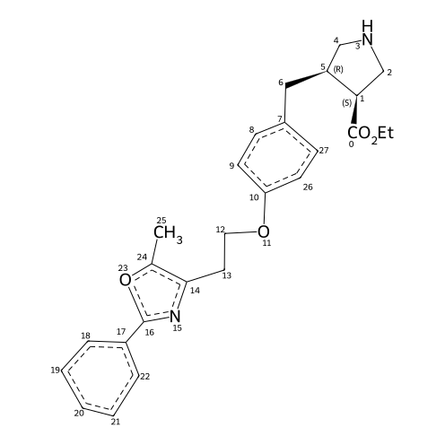 CCOC(=O)[C@@H]1CNC[C@@H]1Cc1ccc(OCCc2nc(-c3ccccc3)oc2C)cc1